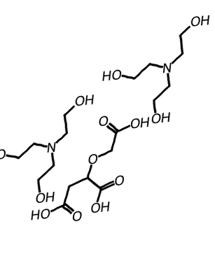 O=C(O)COC(CC(=O)O)C(=O)O.OCCN(CCO)CCO.OCCN(CCO)CCO